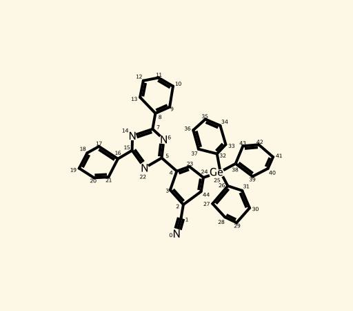 N#Cc1cc(-c2nc(-c3ccccc3)nc(-c3ccccc3)n2)c[c]([Ge]([c]2ccccc2)([c]2ccccc2)[c]2ccccc2)c1